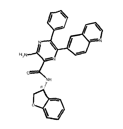 Nc1nc(-c2ccccc2)c(-c2ccc3ncccc3c2)nc1C(=O)N[C@H]1COc2ccccc21